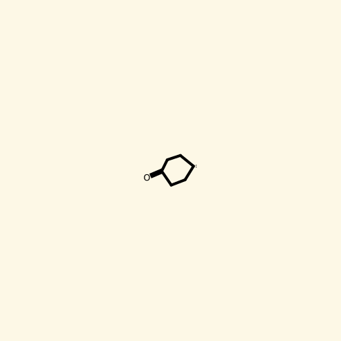 O=C1CC[C]CC1